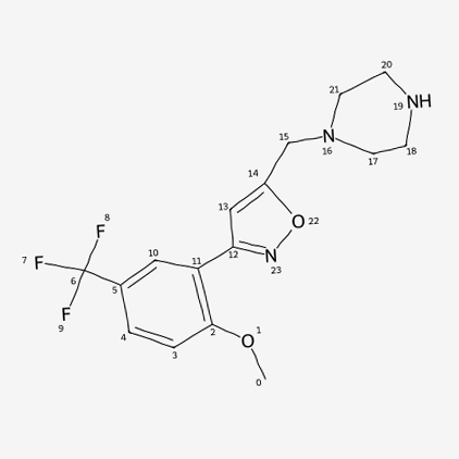 COc1ccc(C(F)(F)F)cc1-c1cc(CN2CCNCC2)on1